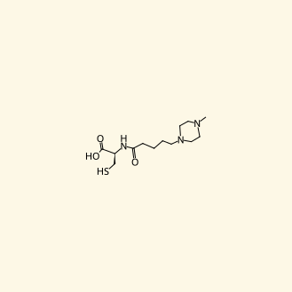 CN1CCN(CCCCC(=O)N[C@@H](CS)C(=O)O)CC1